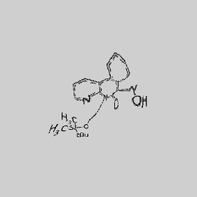 CC(C)(C)[Si](C)(C)OCCn1c(=O)c(=NO)c2ccccc2c2cccnc21